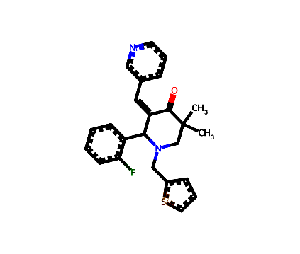 CC1(C)CN(Cc2cccs2)C(c2ccccc2F)C(=Cc2cccnc2)C1=O